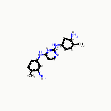 Cc1ccc(Nc2ccnc(Nc3ccc(C)c(N)c3)n2)cc1N